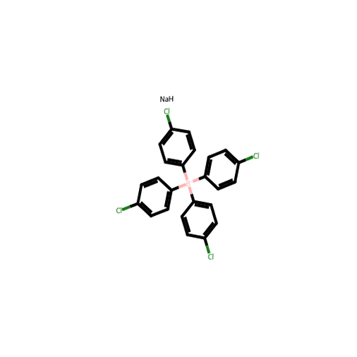 Clc1ccc([B-](c2ccc(Cl)cc2)(c2ccc(Cl)cc2)c2ccc(Cl)cc2)cc1.[NaH]